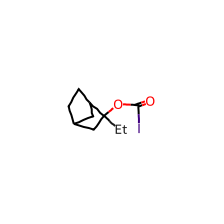 CCC1(OC(=O)I)CC2CCC1C2